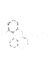 Oc1cccc2c1-c1cccc3c1[C@@H](C2)C(CCCF)CC3